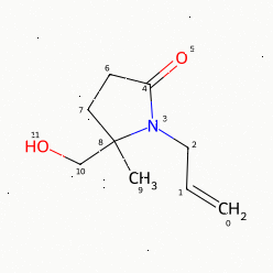 C=CCN1C(=O)CCC1(C)CO